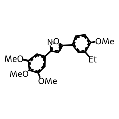 CCc1cc(-c2cc(-c3cc(OC)c(OC)c(OC)c3)no2)ccc1OC